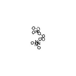 C1=Cc2c(n(-c3ccccc3)c3ccc(-c4cccc5oc6cc(-c7nc(-c8ccccc8)nc(-c8ccccc8)n7)ccc6c45)cc23)C(c2ccccc2)C1